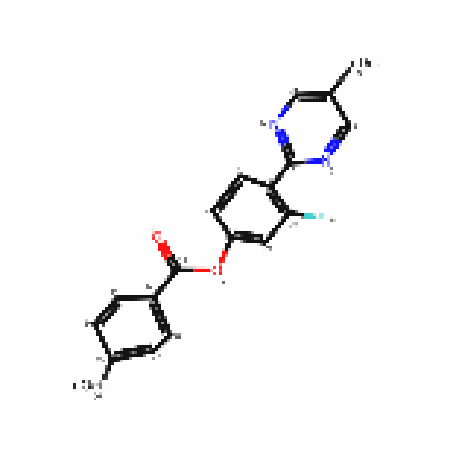 CCCCCCCCCCc1cnc(-c2ccc(OC(=O)c3ccc(CCCCCCCC)cc3)cc2F)nc1